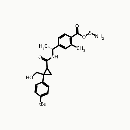 Cc1cc([C@@H](C)NC(=O)C2CC2(CO)c2ccc(C(C)(C)C)cc2)ccc1C(=O)OSN